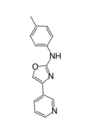 Cc1ccc(Nc2nc(-c3cccnc3)co2)cc1